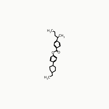 CCCC(C)c1ccc(C(=O)Oc2ccc(C3CCC(CC)CC3)cc2)cc1